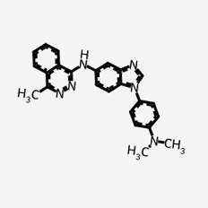 Cc1nnc(Nc2ccc3c(c2)ncn3-c2ccc(N(C)C)cc2)c2ccccc12